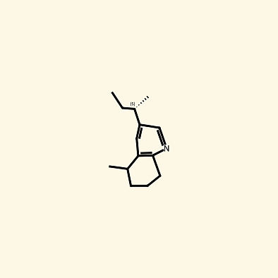 CC[C@H](C)c1cnc2c(c1)C(C)CCC2